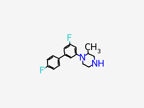 CC1CNCCN1c1cc(F)cc(-c2ccc(F)cc2)c1